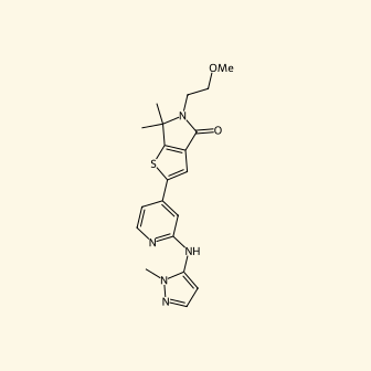 COCCN1C(=O)c2cc(-c3ccnc(Nc4ccnn4C)c3)sc2C1(C)C